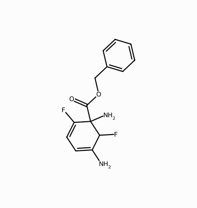 NC1=CC=C(F)C(N)(C(=O)OCc2ccccc2)C1F